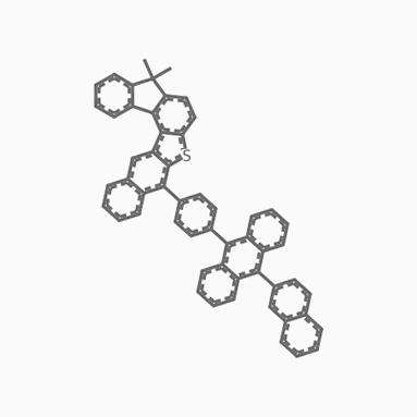 CC1(C)c2ccccc2-c2c1ccc1sc3c(-c4ccc(-c5c6ccccc6c(-c6ccc7ccccc7c6)c6ccccc56)cc4)c4ccccc4cc3c21